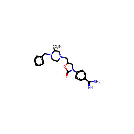 CCOC(=O)C1CN(CC2CN(c3ccc(C(=N)N)cc3)C(=O)O2)CCN1Cc1ccccc1